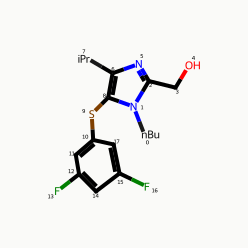 CCCCn1c(CO)nc(C(C)C)c1Sc1cc(F)cc(F)c1